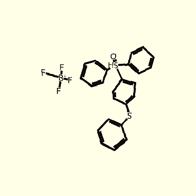 F[B-](F)(F)F.O=[SH](c1ccccc1)(c1ccccc1)c1ccc(Sc2ccccc2)cc1